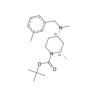 Cc1cccc(CN(C)[C@H]2CCN(C(=O)OC(C)(C)C)[C@@H](C)C2)c1